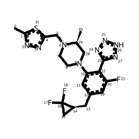 Cc1nnc(CN2CCN(c3cc(C[C@H]4CC4(F)F)cc(F)c3-c3nn[nH]n3)C[C@@H]2C)s1